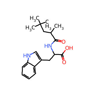 CC(CC(C)(C)C)C(=O)NC(Cc1c[nH]c2ccccc12)C(=O)O